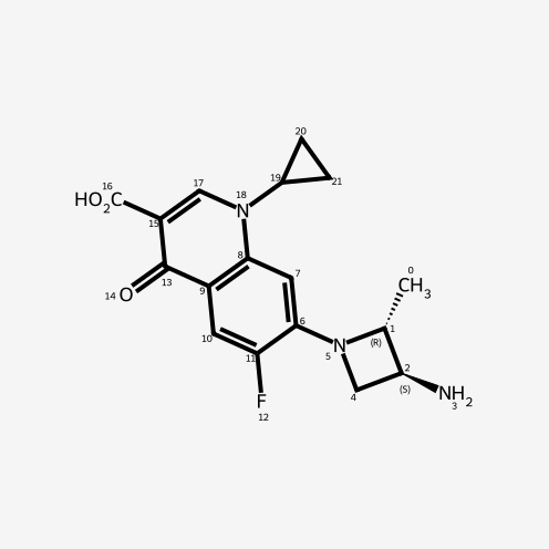 C[C@@H]1[C@@H](N)CN1c1cc2c(cc1F)c(=O)c(C(=O)O)cn2C1CC1